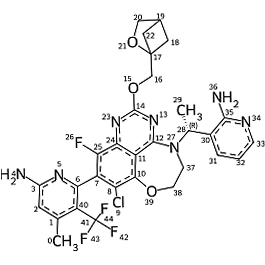 Cc1cc(N)nc(-c2c(Cl)c3c4c(nc(OCC56CC(CO5)C6)nc4c2F)N([C@H](C)c2cccnc2N)CCO3)c1C(F)(F)F